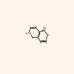 C1=CC2=C(C=COC2)NC1